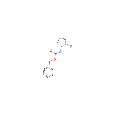 O=C(NC1CCOC1=O)OCc1ccccc1